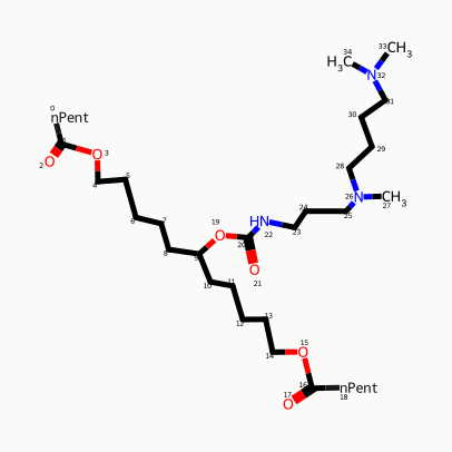 CCCCCC(=O)OCCCCCC(CCCCCOC(=O)CCCCC)OC(=O)NCCCN(C)CCCCN(C)C